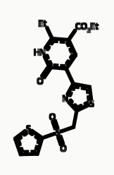 CCOC(=O)c1cc(-c2csc(CS(=O)(=O)c3cccs3)n2)c(=O)[nH]c1CC